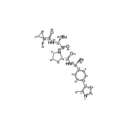 Cc1ncsc1-c1ccc([C@@H](NC(=O)[C@@H]2CCCN2C(=O)[C@@H](NC(=O)C2(F)CC2)C(C)(C)C)C(C)C)cc1